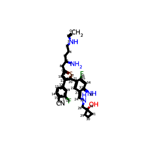 C=CNCCCC(N)Cc1cc(-c2ccc(C#N)c(F)c2)c(C2=C/C(=C/NCC3(O)CCC3)C(=N)C=C2F)s1